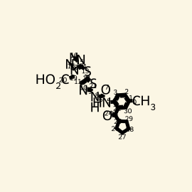 Cc1ccc(NC(=O)Nc2ncc(Sc3nnnn3CC(=O)O)s2)c(C(=O)C2CCCC2)c1